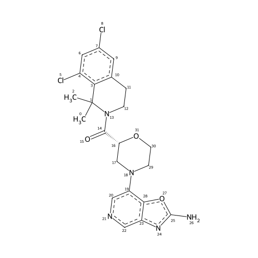 CC1(C)c2c(Cl)cc(Cl)cc2CCN1C(=O)[C@H]1CN(c2cncc3nc(N)oc23)CCO1